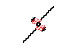 CCCCCCCCCCCCOc1cc(B2OC(C)(C)C(C)(C)O2)c(OCCCCCCCCCCCC)cc1B1OC(C)(C)C(C)(C)O1